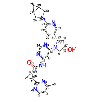 Cc1ccnc([C@H]2C[C@@H]2C(=O)Nc2cc(N3C[C@@H](O)C[C@H]3c3ccc(N4CC5CC5C4)nc3)ncn2)n1